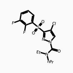 CCCN(CC)C(=O)n1cc(Cl)c(S(=O)(=O)c2cccc(F)c2F)n1